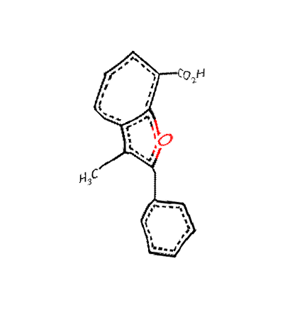 Cc1c(-c2ccccc2)oc2c(C(=O)O)cccc12